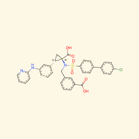 O=C(O)c1cccc(CN([C@]2(C(=O)O)C[C@H]2c2cccc(Nc3ccccn3)c2)S(=O)(=O)c2ccc(-c3ccc(Cl)cc3)cc2)c1